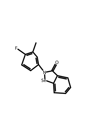 Cc1cc(-n2[se]c3ccccc3c2=O)ccc1F